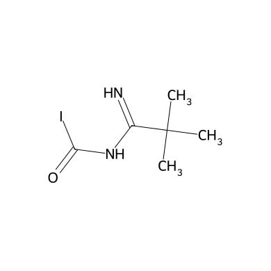 CC(C)(C)C(=N)NC(=O)I